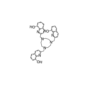 Oc1cccc2ccc(CN3CCN(Cc4ccc5cccc(O)c5n4)CCN(Cc4ccc5cccc(O)c5n4)CC3)nc12